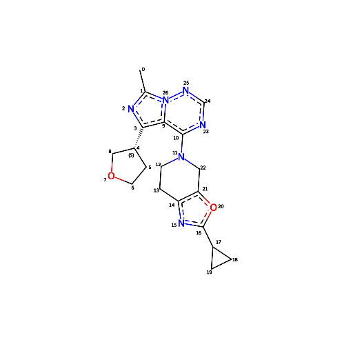 Cc1nc([C@@H]2CCOC2)c2c(N3CCc4nc(C5CC5)oc4C3)ncnn12